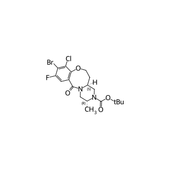 C[C@@H]1CN2C(=O)c3cc(F)c(Br)c(Cl)c3OCC[C@H]2CN1C(=O)OC(C)(C)C